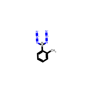 Cc1ccccc1[SiH](N=[N+]=[N-])N=[N+]=[N-]